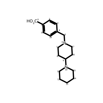 O=C(O)c1ccc(CN2CCC(N3CCCCC3)CC2)cc1